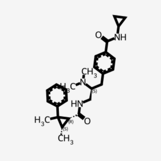 C[C@H]1[C@@H](C(=O)NC[C@H](Cc2ccc(C(=O)NC3CC3)cc2)N(C)C)C1(C)c1ccccc1